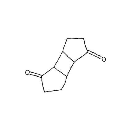 O=C1CCC2C1C1CCC(=O)C21